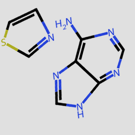 Nc1ncnc2[nH]cnc12.c1cscn1